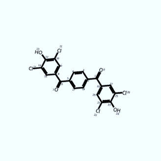 O=C(c1ccc(C(=O)c2cc(Cl)c(O)c(Cl)c2)cc1)c1cc(Cl)c(O)c(Cl)c1